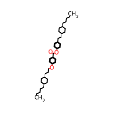 CCCCC[C@H]1CC[C@H](CCCOc2ccc(C(=O)Oc3ccc(CC[C@H]4CC[C@H](CCCCC)CC4)cc3)cc2)CC1